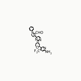 Nc1cc(C(F)(F)F)c(C2CN(c3nccc(N4CCN(c5ccccc5)C4C=O)n3)CCO2)cn1